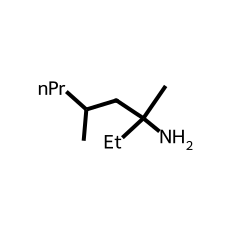 CCCC(C)CC(C)(N)CC